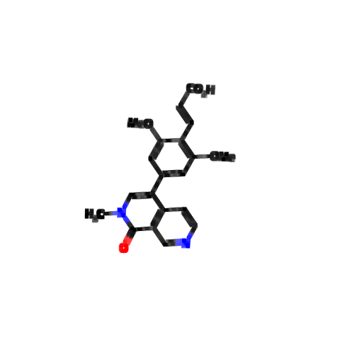 COc1cc(-c2cn(C)c(=O)c3cnccc23)cc(OC)c1/C=C/C(=O)O